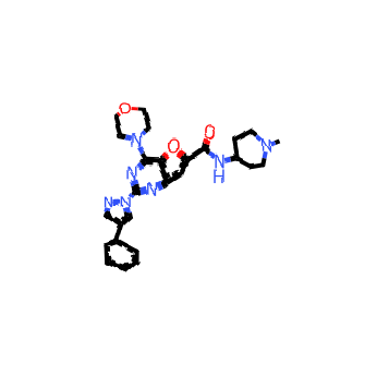 CN1CCC(NC(=O)c2cc3nc(-n4cc(-c5ccccc5)cn4)nc(N4CCOCC4)c3o2)CC1